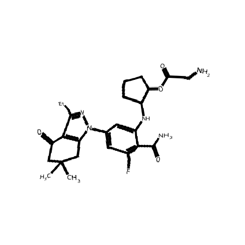 CCc1nn(-c2cc(F)c(C(N)=O)c(NC3CCCC3OC(=O)CN)c2)c2c1C(=O)CC(C)(C)C2